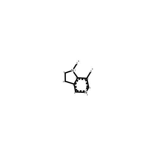 Ic1cncc2c1N(I)CC2